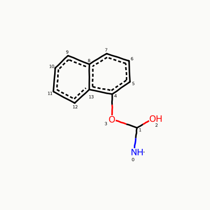 [NH]C(O)Oc1cccc2ccccc12